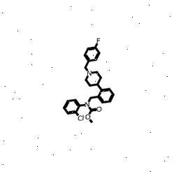 COC(=O)N(Cc1ccccc1C1CCN(Cc2ccc(F)cc2)CC1)c1ccccc1Cl